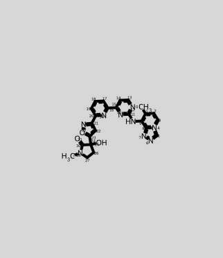 Cc1ccn2cnnc2c1Nc1nccc(-c2cccc(-c3cc(C4(O)CCN(C)C4=O)on3)n2)n1